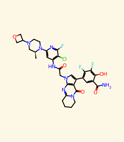 C[C@H]1CN(C2COC2)CCN1c1cc(NC(=O)Cn2cc(-c3cc(C(N)=O)c(O)c(F)c3F)c3c(=O)n4c(nc32)CCCC4)c(Cl)c(F)n1